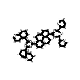 c1ccc(-c2nc(-c3ccccn3)nc(-c3ccc4ccc5c(-c6nc(-c7cccc8ncccc78)nc(-c7cccc8ncccc78)n6)ccc6ccc3c4c65)n2)nc1